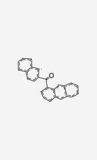 O=C(c1[c]c2ccccc2cc1)c1cccc2cc3ccccc3cc12